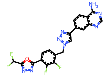 Nc1ncnc2cc(-c3cn(Cc4ccc(-c5nnc(C(F)F)o5)c(F)c4F)nn3)ccc12